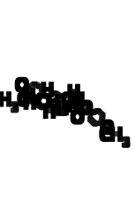 COc1ccc(OC(=O)N[C@H]2CC[C@H]3[C@@H]4CC[C@H]5N(C)C(=O)C=C[C@]5(C)[C@H]4CC[C@]23C)cc1